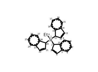 CC[Si](C1C=Cc2ccccc21)(C1C=Cc2ccccc21)C1C=Cc2ccccc21